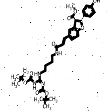 COC(=O)[C@@H]1c2cc(/C=C/C(=O)NCCCCNC(=NC(=O)OC(C)(C)C)NC(=O)OC(C)(C)C)ccc2O[C@H]1c1ccc(O)cc1